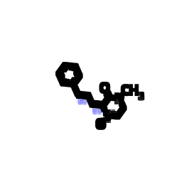 CN1CC[S+]([O-])/C(=C/C=C/c2ccccc2)C1=O